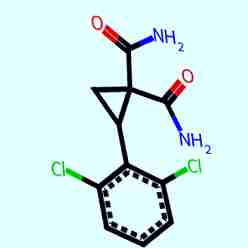 NC(=O)C1(C(N)=O)CC1c1c(Cl)cccc1Cl